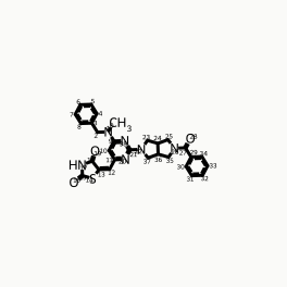 CN(Cc1ccccc1)c1cc(C=C2SC(=O)NC2=O)nc(N2CC3CN(C(=O)c4ccccc4)CC3C2)n1